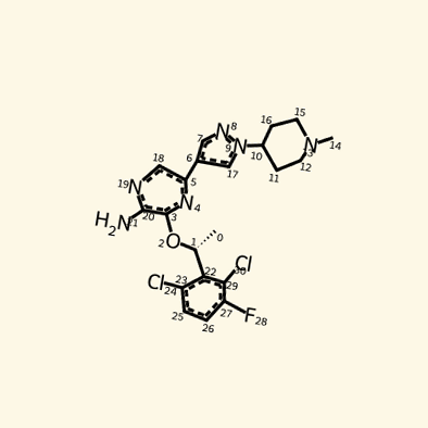 C[C@@H](Oc1nc(-c2cnn(C3CCN(C)CC3)c2)cnc1N)c1c(Cl)ccc(F)c1Cl